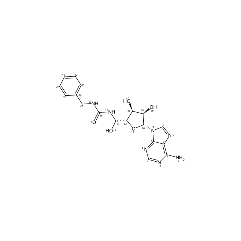 Nc1ncnc2c1ncn2[C@@H]1O[C@H](C(O)NC(=O)NCc2ccccc2)[C@@H](O)[C@H]1O